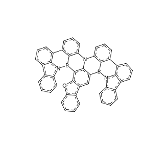 c1cc2c3c(c1)N1c4cccc5c4B(c4c1c(cc1c4oc4ccccc41)B3n1c3ccccc3c3cccc-2c31)n1c2ccccc2c2cccc-5c21